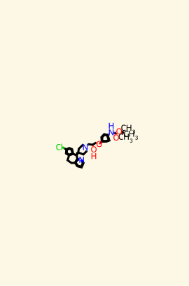 CC(C)(C)OC(=O)Nc1ccc(OCC(O)CN2CCC(=C3c4ccc(Cl)cc4CCc4cccnc43)CC2)cc1